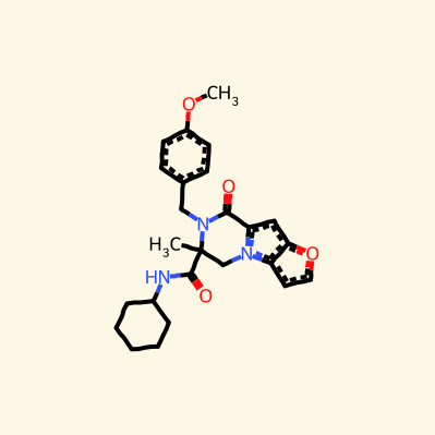 COc1ccc(CN2C(=O)c3cc4occc4n3CC2(C)C(=O)NC2CCCCC2)cc1